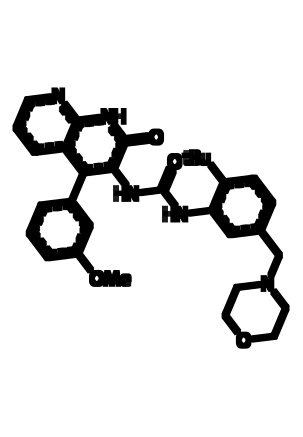 COc1cccc(-c2c(NC(=O)Nc3cc(CN4CCOCC4)ccc3C(C)(C)C)c(=O)[nH]c3ncccc23)c1